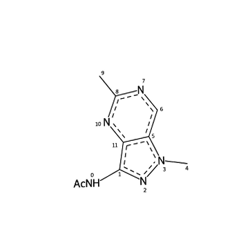 CC(=O)Nc1nn(C)c2cnc(C)nc12